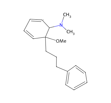 COC1(CCCc2ccccc2)C=CC=[C]C1N(C)C